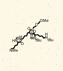 CNCCCCC(NC(C)(C)C)C(=O)NCCCCC(NC(=O)C(CCCCNC(C)(C)C)NC(C)(C)C)C(=O)NCCOCCOC